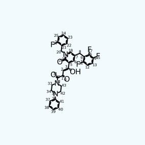 O=C(C=C(O)c1cc(Cc2c(F)ccc(F)c2F)cn(Cc2ccccc2F)c1=O)C(=O)N1CCN(c2ccccc2)CC1